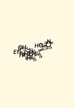 CC[C@]1(O)CC[C@@]2(C)[C@@H](CC[C@@H]3[C@@H]2CC[C@]2(C)[C@@H]([C@H](C)CC[C@@H](O)c4cccnc4)CC[C@@H]32)C1